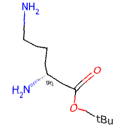 CC(C)(C)OC(=O)[C@H](N)CCN